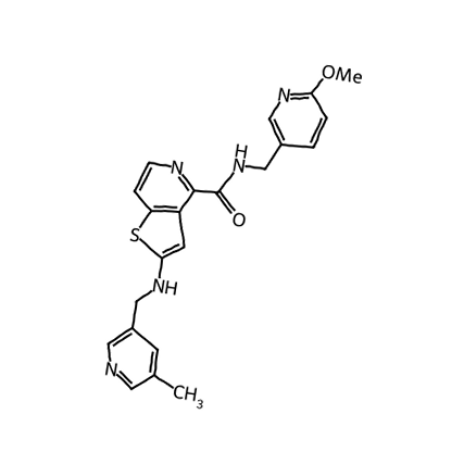 COc1ccc(CNC(=O)c2nccc3sc(NCc4cncc(C)c4)cc23)cn1